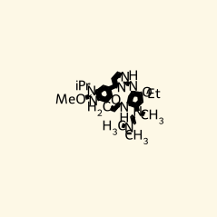 C=CC(=O)Nc1cc(Nc2nccc(-c3ccc4nc(OC)n(C(C)C)c4c3)n2)c(OCC)cc1N(C)CCN(C)C